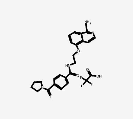 Nc1nccc2c(OCCNC(=O)c3ccc(C(=O)N4CCCC4)cc3)cccc12.O=C(O)C(F)(F)F